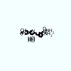 CC(=O)N1CCN(c2ccc(CCc3cccc(CN(N)C(N)=O)c3)nc2)CC1.Cl.Cl.Cl